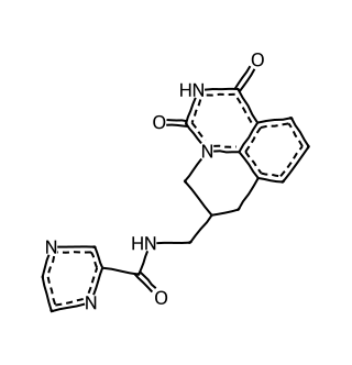 O=C(NCC1Cc2cccc3c(=O)[nH]c(=O)n(c23)C1)c1cnccn1